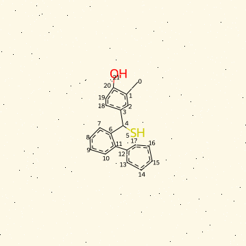 Cc1cc(C(S)c2ccccc2-c2ccccc2)ccc1O